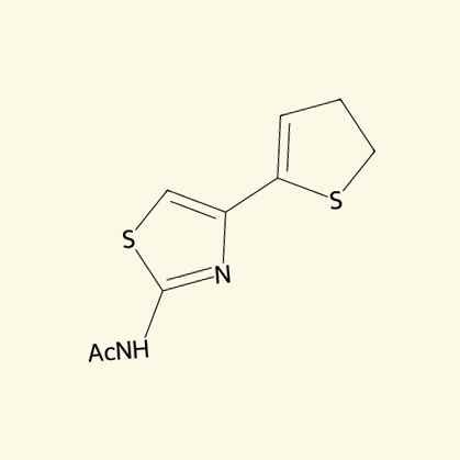 CC(=O)Nc1nc(C2=CCCS2)cs1